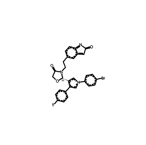 O=C1C=c2cc(CCN3C(=O)CO[C@H]3c3cn(-c4ccc(Br)cc4)cc3-c3ccc(F)cc3)ccc2=N1